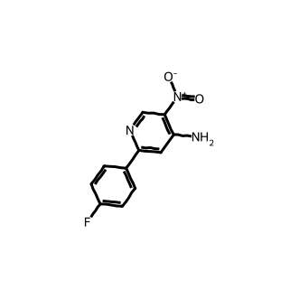 Nc1cc(-c2ccc(F)cc2)ncc1[N+](=O)[O-]